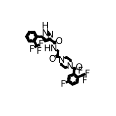 O=C(NCC(=O)N1CCN(C(=O)c2cc(F)ccc2C(F)(F)F)CC1)c1cc(-c2ccccc2C(F)(F)F)[nH]n1